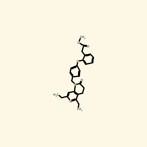 CCc1cc2c(c(CC)n1)CCC(=O)N2Cc1ccc(Oc2ccccc2CC(=O)OC)cc1